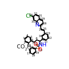 O=C(O)c1ccccc1CCC(NS(=O)(=O)c1ccccc1)c1cccc(/C=C/c2ccc3ccc(Cl)cc3n2)c1